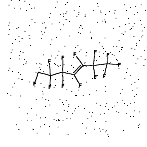 FCC(F)(F)C(F)(F)/C(F)=C(\F)C(F)(F)C(F)(F)F